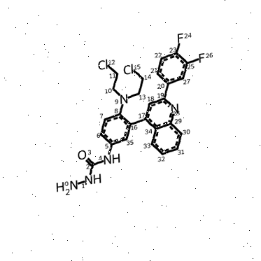 NNC(=O)Nc1ccc(N(CCCl)CCCl)c(-c2cc(-c3ccc(F)c(F)c3)nc3ccccc23)c1